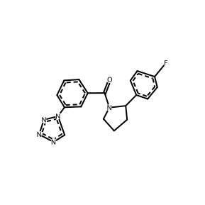 O=C(c1cccc(-n2cnnn2)c1)N1CCCC1c1ccc(F)cc1